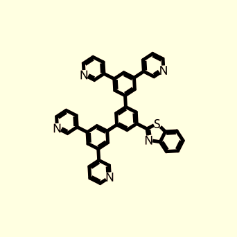 c1cncc(-c2cc(-c3cccnc3)cc(-c3cc(-c4cc(-c5cccnc5)cc(-c5cccnc5)c4)cc(-c4nc5ccccc5s4)c3)c2)c1